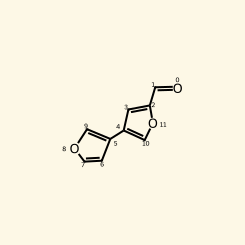 O=Cc1cc(-c2ccoc2)co1